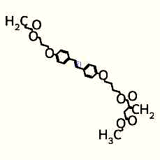 C=CC(=O)OCCCOc1ccc(/C=C/c2ccc(OCCCCOC(=O)C(=C)CC(=O)OCC)cc2)cc1